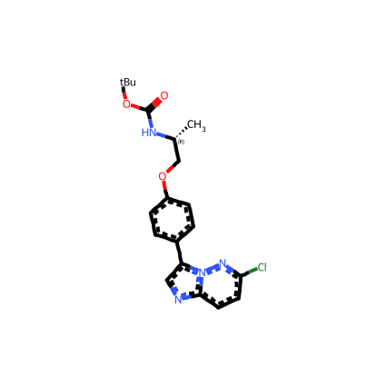 C[C@H](COc1ccc(-c2cnc3ccc(Cl)nn23)cc1)NC(=O)OC(C)(C)C